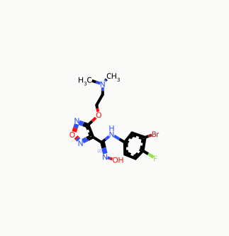 CN(C)CCOc1nonc1/C(=N/O)Nc1ccc(F)c(Br)c1